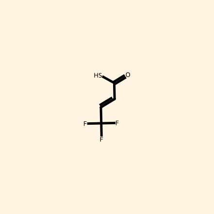 O=C(S)/C=C/C(F)(F)F